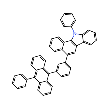 c1ccc(-c2c3ccccc3c(-c3cccc(-c4cc5c6ccccc6n(-c6ccccc6)c5c5ccccc45)c3)c3ccccc23)cc1